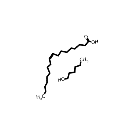 CCCCCCCC/C=C\CCCCCCCC(=O)O.CCCCCCO